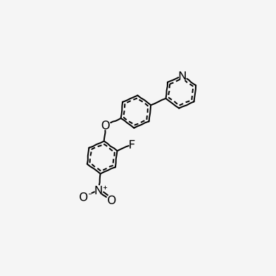 O=[N+]([O-])c1ccc(Oc2ccc(-c3cccnc3)cc2)c(F)c1